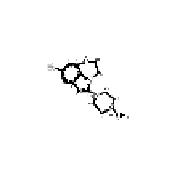 CCc1cc2c3c(c1)nc(N1CCN(C)CC1)n3CCC2